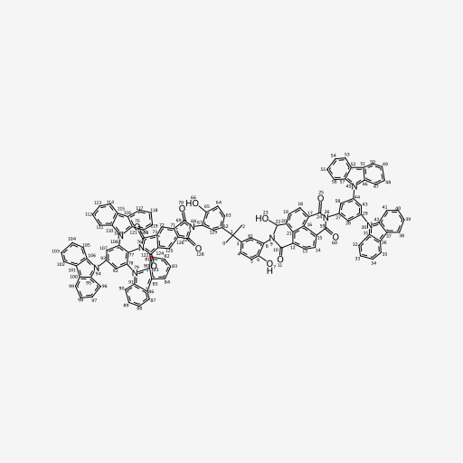 CC(C)(c1ccc(O)c(N2C(=O)c3ccc4c5c(ccc(c35)C2O)C(=O)N(c2cc(-n3c5ccccc5c5ccccc53)cc(-n3c5ccccc5c5ccccc53)c2)C4=O)c1)c1ccc(O)c(-n2c(=O)c3cc4c(=O)n(-c5c(-n6c7ccccc7c7ccccc76)cc(-n6c7ccccc7c7ccccc76)cc5-n5c6ccccc6c6ccccc65)c(=O)c4cc3c2=O)c1